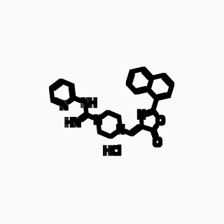 Cl.N=C(Nc1ccccn1)N1CCN(C=C2N=C(c3cccc4ccccc34)OC2=O)CC1